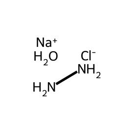 NN.O.[Cl-].[Na+]